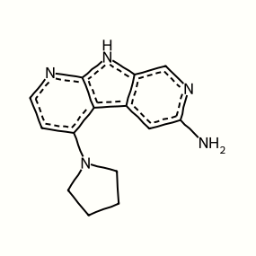 Nc1cc2c(cn1)[nH]c1nccc(N3CCCC3)c12